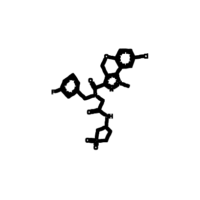 Cn1nc(C(=O)N(CC(=O)NC2CCS(=O)(=O)C2)Cc2cccc(F)c2)c2c1-c1cc(Cl)ccc1OC2